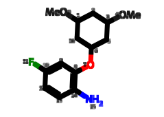 COC1CC(OC)CC(Oc2cc(F)ccc2N)C1